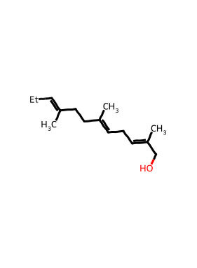 CC/C=C(\C)CC/C(C)=C/C/C=C(\C)CO